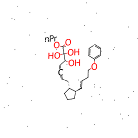 CCCOC(=O)C(O)(O)C(O)C=C=CC[C@H]1CCC[C@@H]1/C=C/CCOc1ccccc1